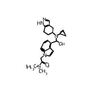 CN(C)C(=O)Cn1ccc2c(C(O)N(C3CC3)C3CCc4[nH]ncc4C3)cccc21